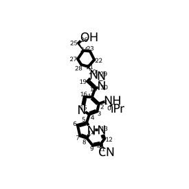 CC(C)Nc1cc(-c2ccc3cc(C#N)cnn23)ncc1-c1cn([C@H]2CC[C@H](CO)CC2)nn1